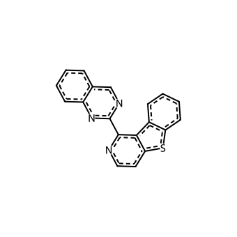 c1ccc2nc(-c3nccc4sc5ccccc5c34)ncc2c1